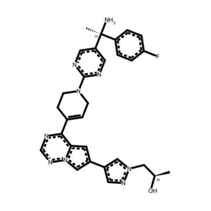 C[C@@H](O)Cn1cc(-c2cc3c(C4=CCN(c5ncc([C@@](C)(N)c6ccc(F)cc6)cn5)CC4)ncnn3c2)cn1